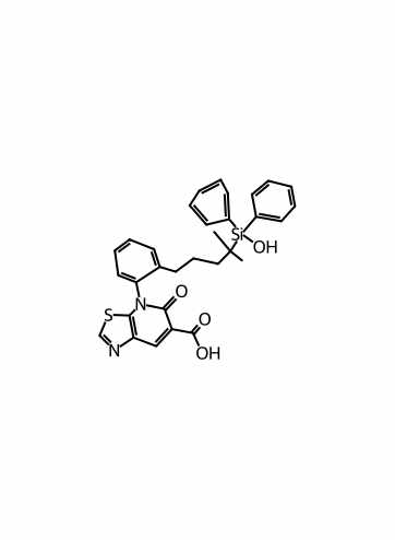 CC(C)(CCCc1ccccc1-n1c(=O)c(C(=O)O)cc2ncsc21)[Si](O)(c1ccccc1)c1ccccc1